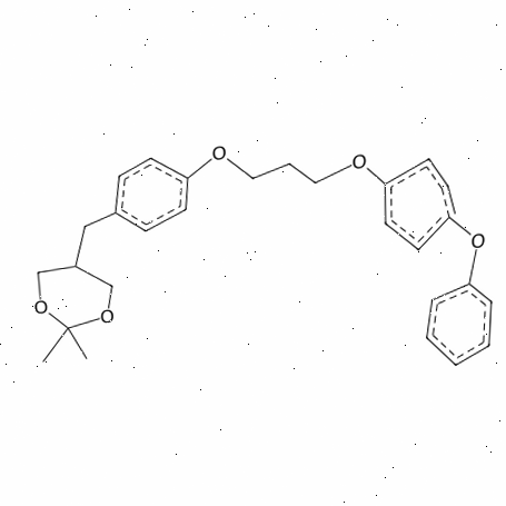 CC1(C)OCC(Cc2ccc(OCCCOc3ccc(Oc4ccccc4)cc3)cc2)CO1